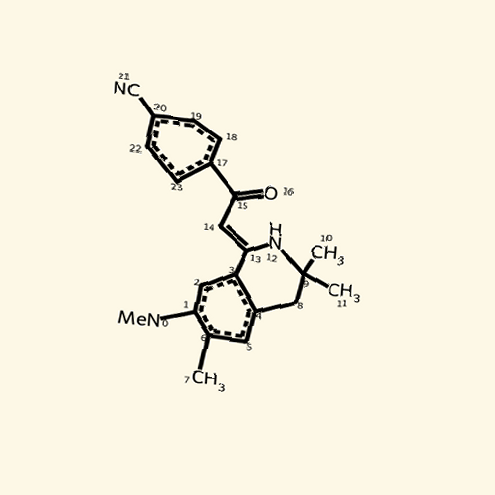 CNc1cc2c(cc1C)CC(C)(C)N/C2=C\C(=O)c1ccc(C#N)cc1